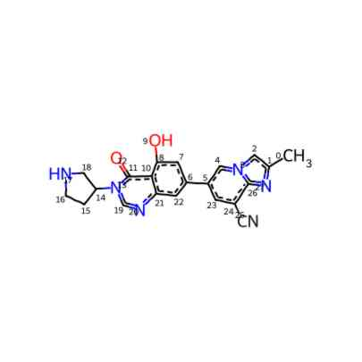 Cc1cn2cc(-c3cc(O)c4c(=O)n(C5CCNC5)cnc4c3)cc(C#N)c2n1